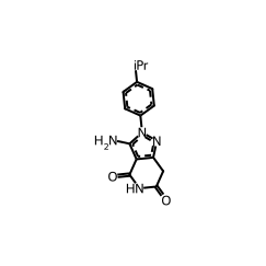 CC(C)c1ccc(-n2nc3c(c2N)C(=O)NC(=O)C3)cc1